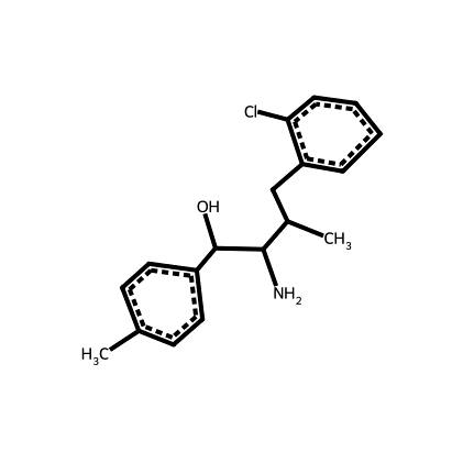 Cc1ccc(C(O)C(N)C(C)Cc2ccccc2Cl)cc1